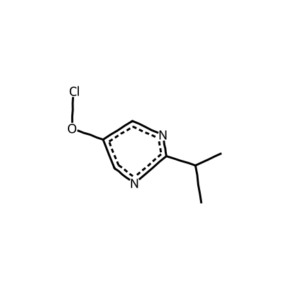 CC(C)c1ncc(OCl)cn1